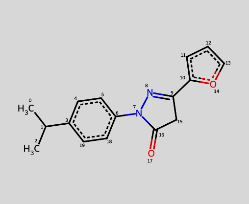 CC(C)c1ccc(N2N=C(c3ccco3)CC2=O)cc1